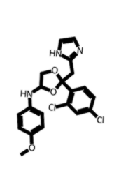 COc1ccc(NC2COC(Cc3ncc[nH]3)(c3ccc(Cl)cc3Cl)O2)cc1